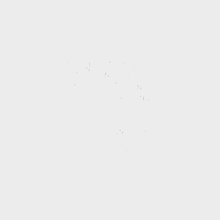 O=C(NC12CC1C2)N1CCC2(CCn3nc(-c4cnc5ccccc5c4)cc32)C1